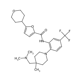 CN(C)CC1(C)CCN(c2ccc(C(F)(F)F)cc2NC(=O)c2ccc(C3CCOCC3)o2)CC1